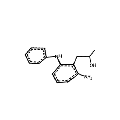 CC(O)Cc1c(N)cccc1Nc1ccccc1